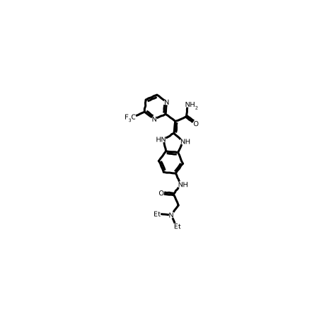 CCN(CC)CC(=O)Nc1ccc2c(c1)NC(=C(C(N)=O)c1nccc(C(F)(F)F)n1)N2